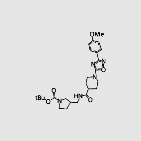 COc1ccc(-c2noc(N3CCC(C(=O)NCC4CCN(C(=O)OC(C)(C)C)C4)CC3)n2)cc1